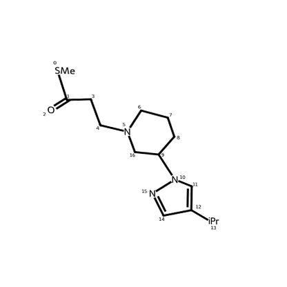 CSC(=O)CCN1CCCC(n2cc(C(C)C)cn2)C1